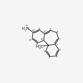 CC12C=CC=CC1=CCC=C1C=C(N)C=CC12